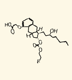 CCCCC[C@H](O)CC[C@@H]1[C@H]2Cc3cccc(OCC(=O)O)c3C[C@H]2C[C@H]1OC(=O)OCCF